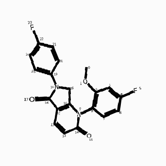 COc1cc(F)ccc1-n1c2c(ccc1=O)C(=O)N(c1ccc(F)cc1)C2